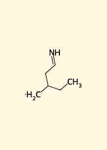 [CH2]C(CC)CC=N